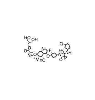 COc1cc2c(Oc3ccc(NC(=O)C4(C(=O)Nc5cccc(Cl)c5)CC4)cc3F)ccnc2cc1OCC(N)C(=O)OCC(CO)CO